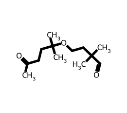 CC(=O)CCC(C)(C)OCCC(C)(C)C=O